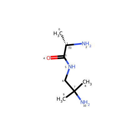 C[C@H](N)C(=O)NCC(C)(C)N